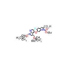 CC(C)(C)OC(=O)N[C@@H](Cc1ccc(Oc2ccnc3c2c(CO[Si](C)(C)C(C)(C)C)cn3COCC[Si](C)(C)C)c(F)c1)C(=O)O